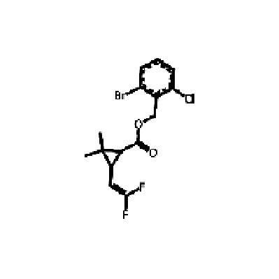 CC1(C)C(C=C(F)F)C1C(=O)OCc1c(Cl)cccc1Br